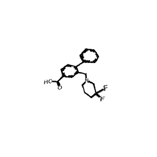 O=C(O)c1ccc(-c2ccccc2)c(CN2CCCC(F)(F)C2)c1